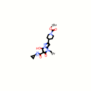 CC(C)Cn1c(=O)c(C(=O)NC2CC2)c(O)n2nc(C3CCN(C(=O)OC(C)(C)C)CC3)cc12